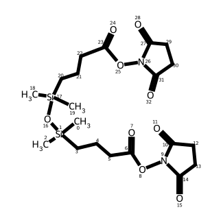 C[Si](C)(CCCC(=O)ON1C(=O)CCC1=O)O[Si](C)(C)CCCC(=O)ON1C(=O)CCC1=O